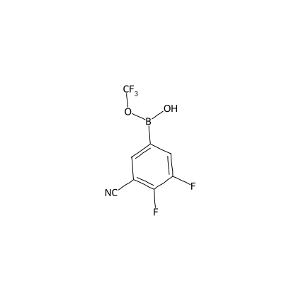 N#Cc1cc(B(O)OC(F)(F)F)cc(F)c1F